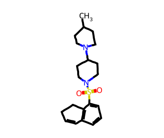 CC1CCN(C2CCN(S(=O)(=O)c3cccc4c3CCC=C4)CC2)CC1